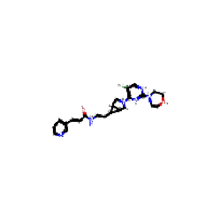 O=C(/C=C/c1cccnc1)NCCC1C2CN(c3nc(N4CCOCC4)ncc3F)CC12